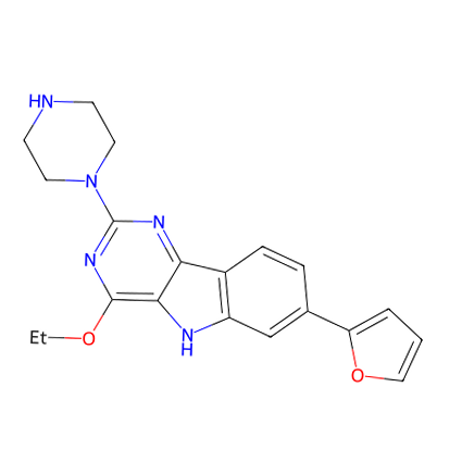 CCOc1nc(N2CCNCC2)nc2c1[nH]c1cc(-c3ccco3)ccc12